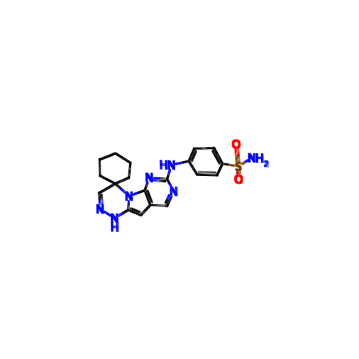 NS(=O)(=O)c1ccc(Nc2ncc3cc4n(c3n2)C2(C=NN4)CCCCC2)cc1